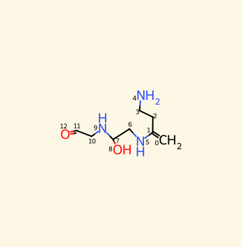 C=C(CCN)NCC(O)NCC=O